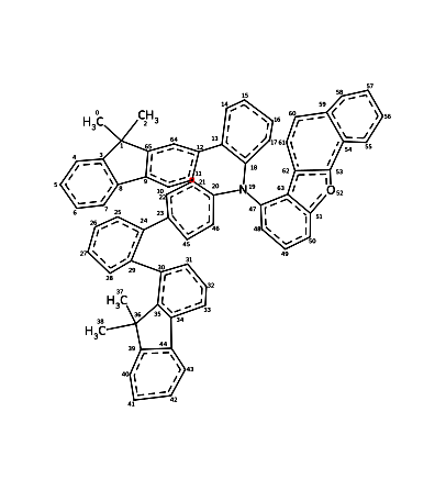 CC1(C)c2ccccc2-c2ccc(-c3ccccc3N(c3ccc(-c4ccccc4-c4cccc5c4C(C)(C)c4ccccc4-5)cc3)c3cccc4oc5c6ccccc6ccc5c34)cc21